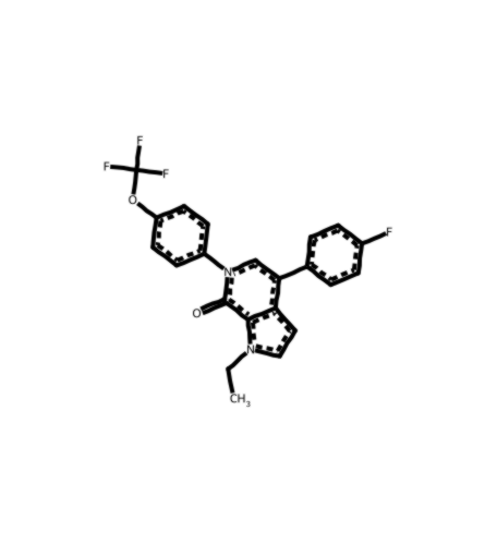 CCn1ccc2c(-c3ccc(F)cc3)cn(-c3ccc(OC(F)(F)F)cc3)c(=O)c21